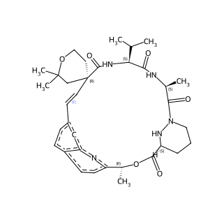 CC(C)[C@@H]1NC(=O)[C@]2(/C=C/c3ccc4ccc(nc4c3)[C@@H](C)OC(=O)[C@@H]3CCCN(N3)C(=O)[C@H](C)NC1=O)CCOC(C)(C)C2